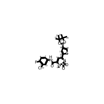 CN1C(C(=O)Nc2ccc(F)c(Cl)c2)=CC(c2cc(B3OC(C)(C)C(C)(C)O3)cs2)=NS1(=O)=O